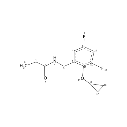 CCC(=O)NCc1cc(F)cc(F)c1OC1CC1